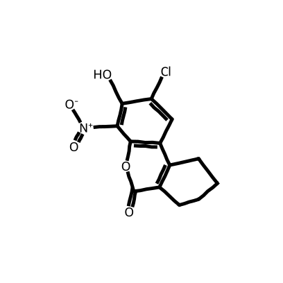 O=c1oc2c([N+](=O)[O-])c(O)c(Cl)cc2c2c1CCCC2